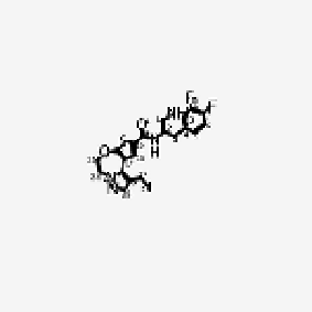 NCC(Cc1ccc(F)c(F)c1)NC(=O)c1cc2c(s1)OCCn1ncc(CI)c1-2